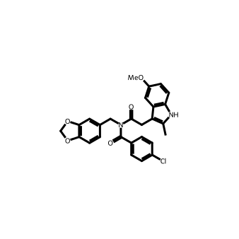 COc1ccc2[nH]c(C)c(CC(=O)N(Cc3ccc4c(c3)OCO4)C(=O)c3ccc(Cl)cc3)c2c1